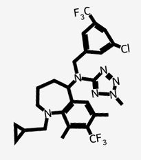 Cc1cc2c(c(C)c1C(F)(F)F)N(CC1CC1)CCCC2N(Cc1cc(Cl)cc(C(F)(F)F)c1)c1nnn(C)n1